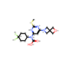 CSc1nc(N2CC3(COC3)C2)cc(N(C(=O)O)C2CCC(F)(F)CC2)n1